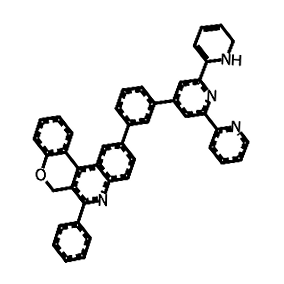 C1=CCNC(c2cc(-c3cccc(-c4ccc5nc(-c6ccccc6)c6c(c5c4)-c4ccccc4OC6)c3)cc(-c3ccccn3)n2)=C1